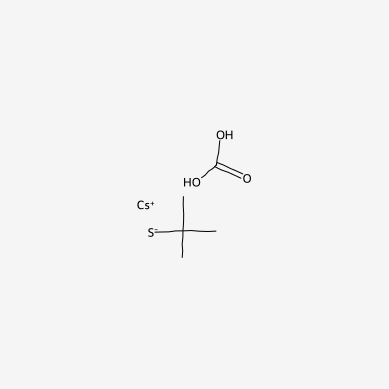 CC(C)(C)[S-].O=C(O)O.[Cs+]